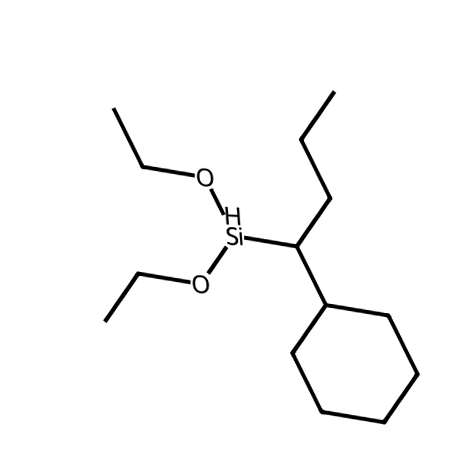 CCCC(C1CCCCC1)[SiH](OCC)OCC